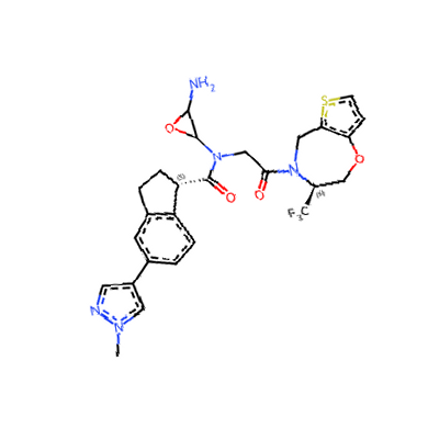 Cn1cc(-c2ccc3c(c2)CC[C@@H]3C(=O)N(CC(=O)N2Cc3sccc3OC[C@H]2C(F)(F)F)C2OC2N)cn1